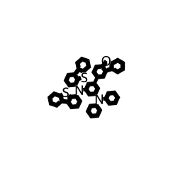 c1ccc(N(c2ccccc2)c2cc(-c3ccc4oc5ccccc5c4c3)cc(N(c3cccc4c3sc3ccccc34)c3cccc4c3sc3ccccc34)c2)cc1